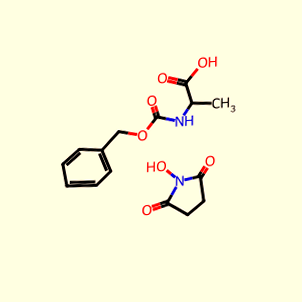 CC(NC(=O)OCc1ccccc1)C(=O)O.O=C1CCC(=O)N1O